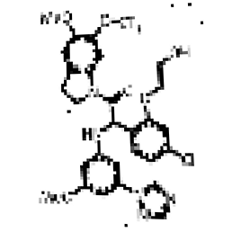 COc1cc(NC(C(=O)N2CCc3cc(OC)c(OC(F)(F)F)cc32)c2ccc(Cl)cc2OCCO)cc(-n2cncn2)c1